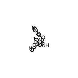 CC(C)CC(NC(=O)c1ccc(N2CCN(C)CC2)cc1)C(=O)N1C(C(=O)Cc2cccnc2)CC2NCC(=O)C21